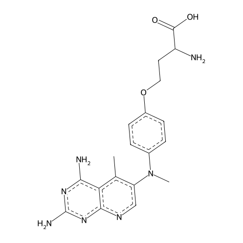 Cc1c(N(C)c2ccc(OCCC(N)C(=O)O)cc2)cnc2nc(N)nc(N)c12